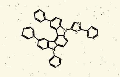 c1ccc(-c2ccc3c(c2)c2c4c5cc(-c6ccccc6)ccc5n(-c5cnc(-c6ccccc6)s5)c4ccc2n3-c2ccccc2)cc1